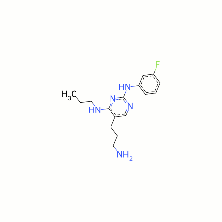 CCCNc1nc(Nc2cccc(F)c2)ncc1CCCN